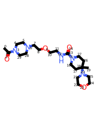 CC(=O)N1CCN(CCOCCNC(=O)N2CCC(C)(N3CCOCC3)CC2)CC1